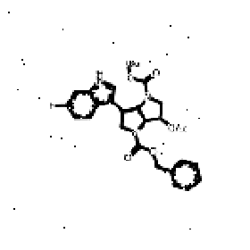 CC(=O)OC1CN(C(=O)OC(C)(C)C)C2C(c3c[nH]c4cc(F)ccc34)CN(C(=O)OCc3ccccc3)C12